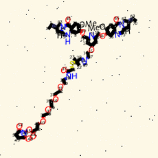 C/C=C1\C[C@H]2CNc3cc(OCc4cc(OCCN(C)CC(C)(C)SCC(=O)NCCOCCOCCOCCOCCC(=O)ON5C(=O)CCC5=O)cc(COc5cc6c(cc5OC)C(=O)N5C/C(=C/C)C[C@H]5C=N6)n4)c(OC)cc3C(=O)N2C1